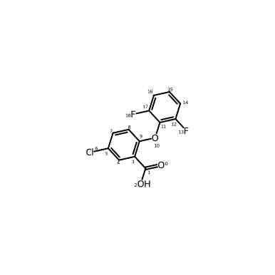 O=C(O)c1cc(Cl)ccc1Oc1c(F)cccc1F